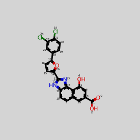 O=C(O)c1cc(O)c2c(ccc3[nH]c(-c4ccc(-c5ccc(Cl)c(Cl)c5)o4)nc32)c1